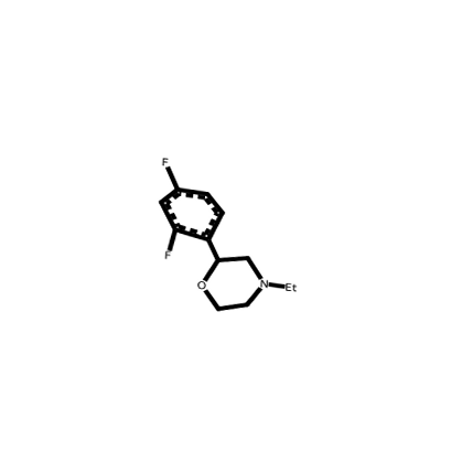 CCN1CCOC(c2ccc(F)cc2F)C1